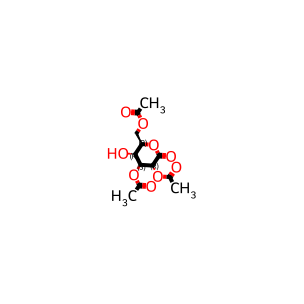 CC(=O)OC[C@H]1OC(=O)[C@H](OC(C)=O)[C@@H](OC(C)=O)[C@@H]1O